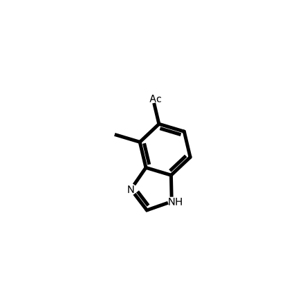 CC(=O)c1ccc2[nH]cnc2c1C